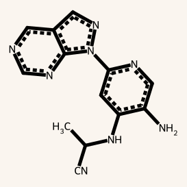 CC(C#N)Nc1cc(-n2ncc3cncnc32)ncc1N